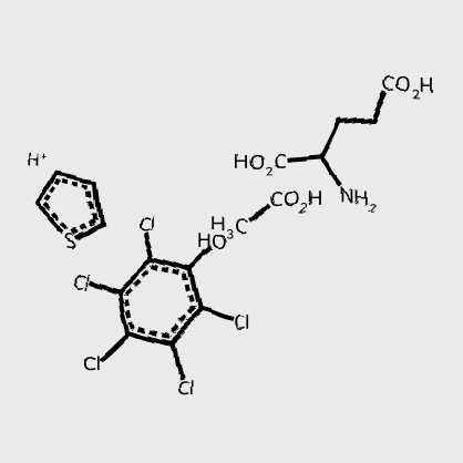 CC(=O)O.NC(CCC(=O)O)C(=O)O.Oc1c(Cl)c(Cl)c(Cl)c(Cl)c1Cl.[H+].c1ccsc1